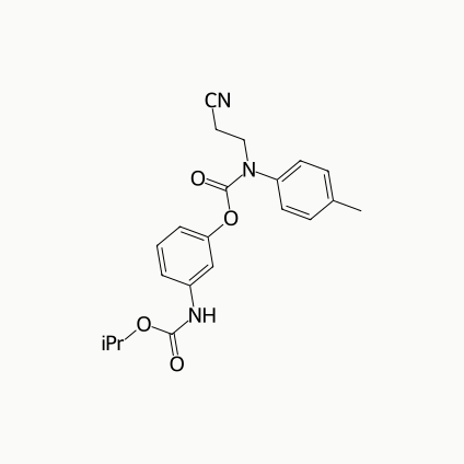 Cc1ccc(N(CCC#N)C(=O)Oc2cccc(NC(=O)OC(C)C)c2)cc1